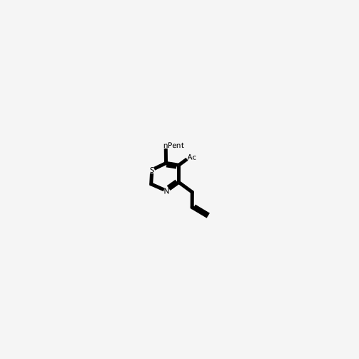 C=CCC1=NCSC(CCCCC)=C1C(C)=O